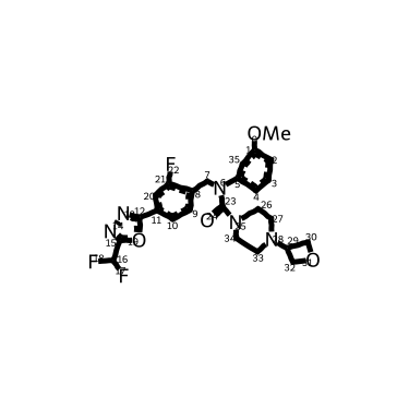 COc1cccc(N(Cc2ccc(-c3nnc(C(F)F)o3)cc2F)C(=O)N2CCN(C3COC3)CC2)c1